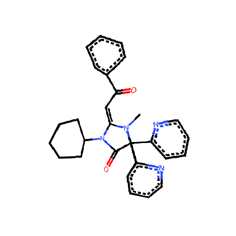 CN1C(=CC(=O)c2ccccc2)N(C2CCCCC2)C(=O)C1(c1ccccn1)c1ccccn1